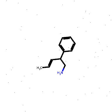 C/C=C/[C](CN)c1ccccc1